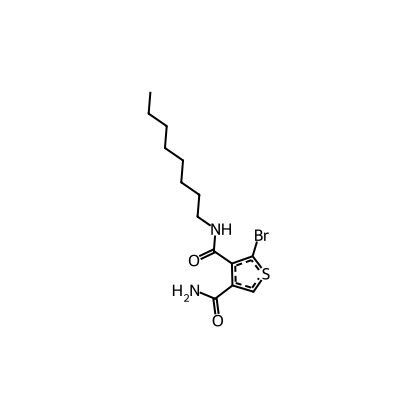 CCCCCCCCNC(=O)c1c(C(N)=O)csc1Br